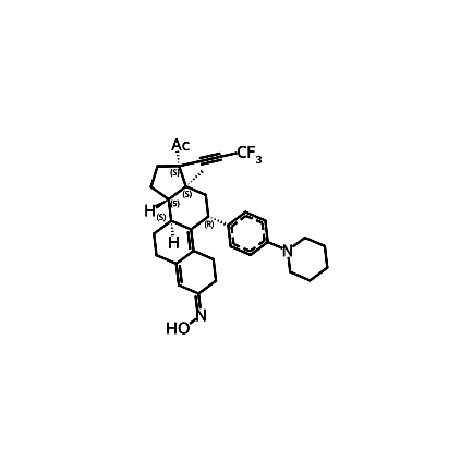 CC(=O)[C@@]1(C#CC(F)(F)F)CC[C@H]2[C@@H]3CCC4=CC(=NO)CCC4=C3[C@@H](c3ccc(N4CCCCC4)cc3)C[C@@]21C